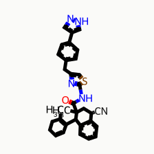 CC1=C(C2c3ccccc3C(C#N)CC2(C)C(=O)Nc2nc(Cc3ccc(-c4cn[nH]c4)cc3)cs2)C=CCC1